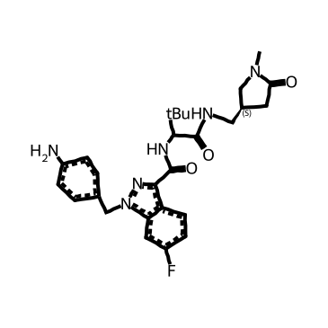 CN1C[C@H](CNC(=O)C(NC(=O)c2nn(Cc3ccc(N)cc3)c3cc(F)ccc23)C(C)(C)C)CC1=O